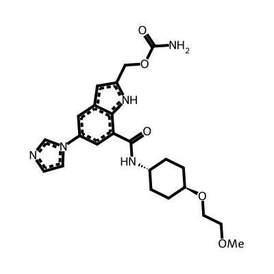 COCCO[C@H]1CC[C@H](NC(=O)c2cc(-n3ccnc3)cc3cc(COC(N)=O)[nH]c23)CC1